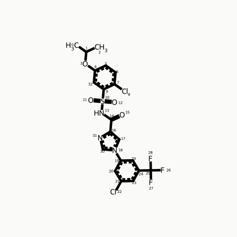 CC(C)Oc1ccc(Cl)c(S(=O)(=O)NC(=O)c2cn(-c3cc(Cl)cc(C(F)(F)F)c3)cn2)c1